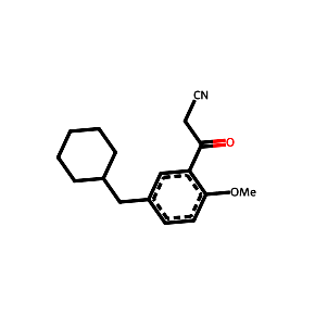 COc1ccc(CC2CCCCC2)cc1C(=O)CC#N